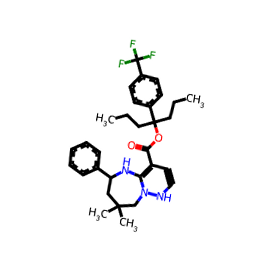 CCCC(CCC)(OC(=O)C1=C2NC(c3ccccc3)CC(C)(C)CN2NC#C1)c1ccc(C(F)(F)F)cc1